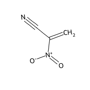 C=C(C#N)[N+](=O)[O-]